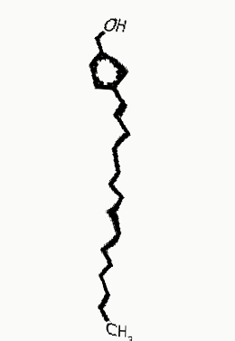 CCCCCCCCCCCCCC=Cc1ccc(CO)cc1